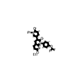 CCOc1ccc2cc(-c3ccc(=O)n(C(C)C)c3)c(=O)n(-c3ccc(OC(F)F)cc3)c2n1